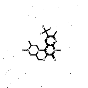 Cc1nc2c(cc1C(F)(F)F)c1c(c(=O)n2I)OCC2CN(I)C(C)CN12